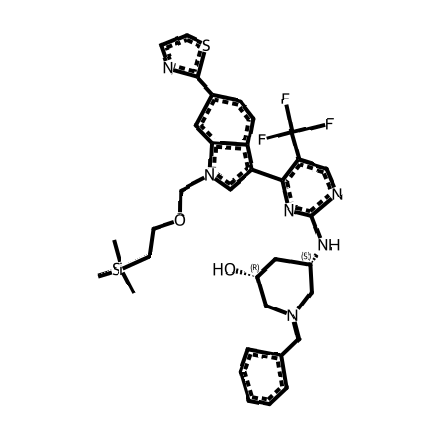 C[Si](C)(C)CCOCn1cc(-c2nc(N[C@H]3C[C@@H](O)CN(Cc4ccccc4)C3)ncc2C(F)(F)F)c2ccc(-c3nccs3)cc21